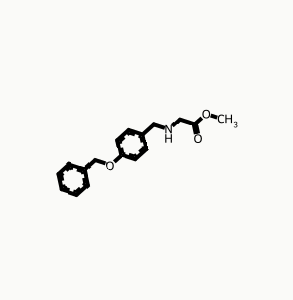 COC(=O)CNCc1ccc(OCc2ccccc2)cc1